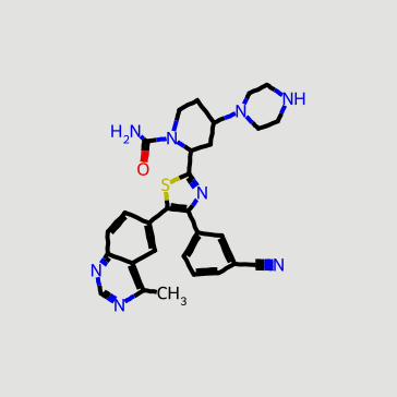 Cc1ncnc2ccc(-c3sc(C4CC(N5CCNCC5)CCN4C(N)=O)nc3-c3cccc(C#N)c3)cc12